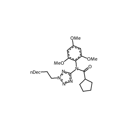 CCCCCCCCCCCCn1nnc(N(C(=O)C2CCCC2)c2c(OC)cc(OC)cc2OC)n1